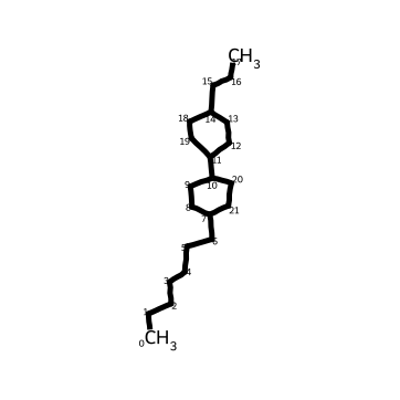 CCCCCCCC1CCC(C2CCC(CCC)CC2)CC1